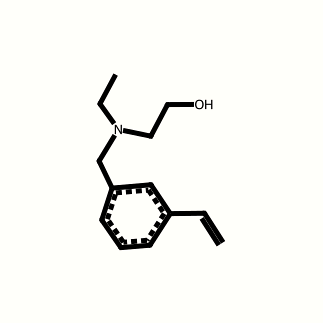 C=Cc1cccc(CN(CC)CCO)c1